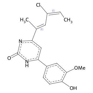 C/C=C(Cl)\C=C(/C)c1cc(-c2ccc(O)c(OC)c2)[nH]c(=O)n1